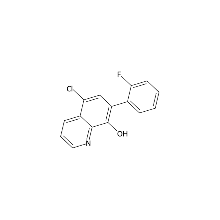 Oc1c(-c2ccccc2F)cc(Cl)c2cccnc12